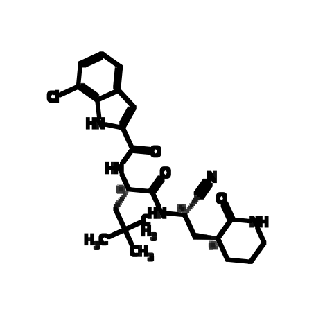 CC(C)(C)C[C@H](NC(=O)c1cc2cccc(Cl)c2[nH]1)C(=O)N[C@H](C#N)C[C@@H]1CCCNC1=O